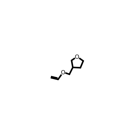 C=COCC1CCOC1